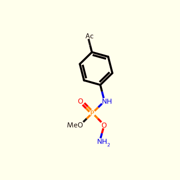 COP(=O)(Nc1ccc(C(C)=O)cc1)ON